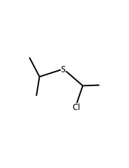 CC(C)SC(C)Cl